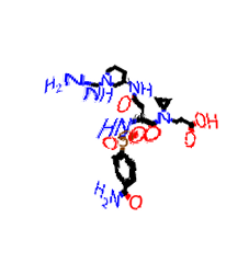 N=C(N)N1CCC[C@H](NC(=O)C[C@H](NS(=O)(=O)c2ccc(C(N)=O)cc2)C(=O)N(CCC(=O)O)C2CC2)C1